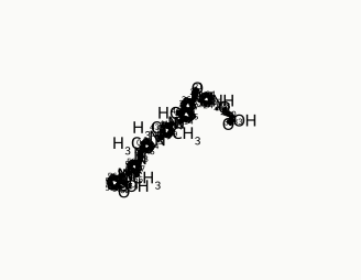 Cc1cc(N=Nc2cc(C)c(N=Nc3ccc4cc(N(C=O)c5ccc(NCOCCC(=O)O)cc5)ccc4c3O)cc2C)ccc1N=Nc1ccc(N=Nc2ccccc2S(=O)(=O)O)c(C)c1